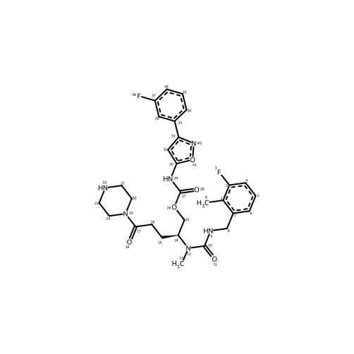 Cc1c(F)cccc1CNC(=O)N(C)[C@@H](CCC(=O)N1CCNCC1)COC(=O)Nc1cc(-c2cccc(F)c2)no1